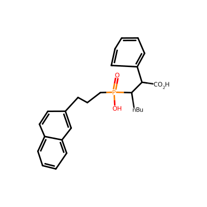 CCCCC(C(C(=O)O)c1ccccc1)P(=O)(O)CCCc1ccc2ccccc2c1